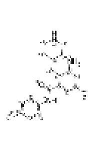 Nc1cc(Cl)cc(C(=O)Nc2ccc(Cl)cn2)c1CC1CCNCC1